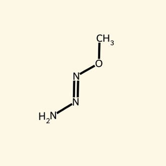 CON=NN